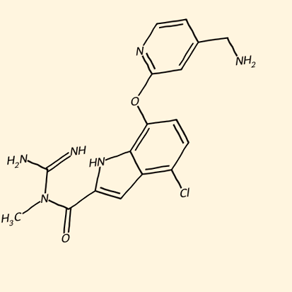 CN(C(=N)N)C(=O)c1cc2c(Cl)ccc(Oc3cc(CN)ccn3)c2[nH]1